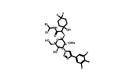 CCC(CC)NC(=O)C(S[C@@H]1O[C@H](CO)[C@H](O)[C@H](n2cc(-c3cc(F)c(F)c(F)c3)nn2)[C@H]1OC)C1(O)CCC(F)(F)CC1